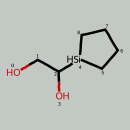 OCC(O)[SiH]1CCCC1